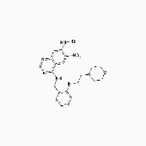 CCNc1cc2ncnc(NCc3ccccc3NCCN3CCOCC3)c2cc1[N+](=O)[O-]